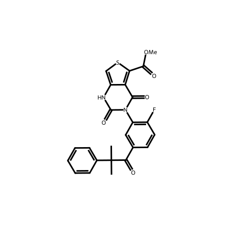 COC(=O)c1scc2[nH]c(=O)n(-c3cc(C(=O)C(C)(C)c4ccccc4)ccc3F)c(=O)c12